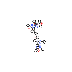 c1ccc(-c2nc(-c3cccc(-c4ccc(-c5ccc(-c6nc(-c7ccccc7)nc(-c7ccccc7)n6)c6c5oc5cccc(-c7cccc(-c8nc(-c9ccccc9)c9oc%10ccccc%10c9n8)c7)c56)cc4)c3)nc(-c3cccc4oc5cccc(-c6ccc(-c7nc(-c8ccccc8)c8oc9ccccc9c8n7)cc6)c5c34)n2)cc1